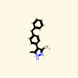 Cc1[nH]nc(C(F)(F)F)c1-c1c[c]c(Cc2ccccc2)cc1